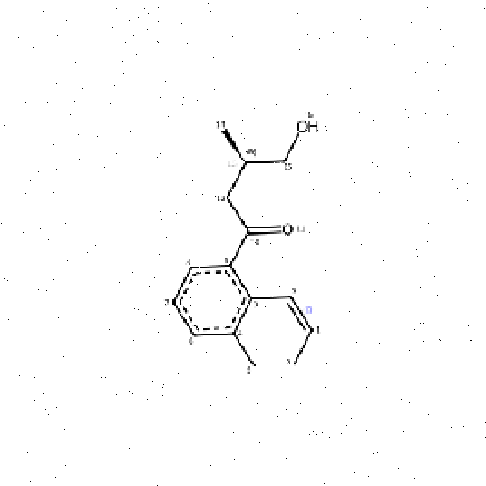 C/C=C\c1c(C)cccc1C(=O)C[C@@H](C)CO